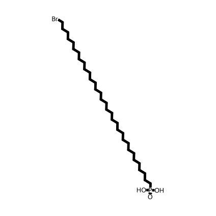 O=P(O)(O)CCCCCCCCCCCCCCCCCCCCCCCCCCCCCCCCCBr